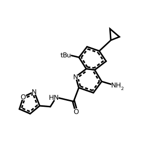 CC(C)(C)c1cc(C2CC2)cc2c(N)cc(C(=O)NCc3ccon3)nc12